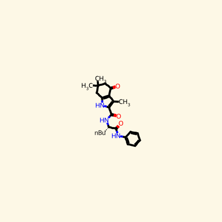 CCCC[C@H](NC(=O)c1[nH]c2c(c1C)C(=O)CC(C)(C)C2)C(=O)Nc1ccccc1